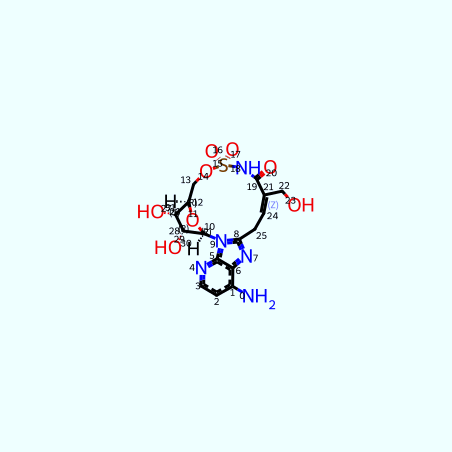 Nc1ccnc2c1nc1n2[C@@H]2O[C@H](COS(=O)(=O)NC(=O)/C(CO)=C\C1)[C@@H](O)[C@H]2O